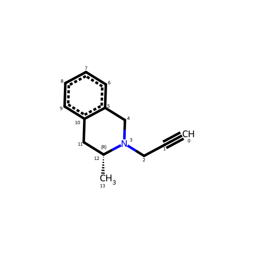 C#CCN1Cc2ccccc2C[C@H]1C